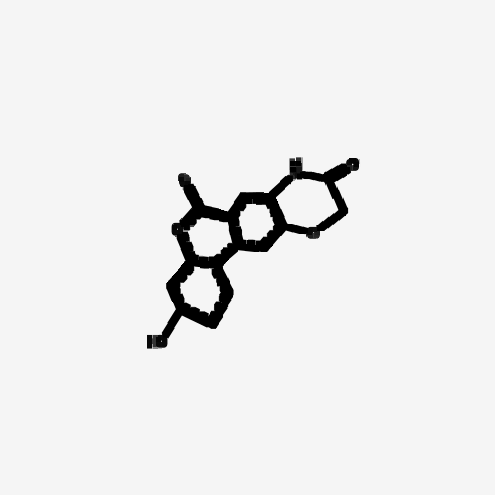 O=C1COc2cc3c(cc2N1)c(=O)oc1cc(O)ccc13